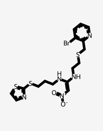 O=[N+]([O-])C=C(NCCCSc1nccs1)NCCSCc1ncccc1Br